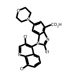 CCc1nc2c(C(=O)O)cc(N3CCOCC3)cc2n1-c1c(Cl)cnc2c(Cl)cccc12